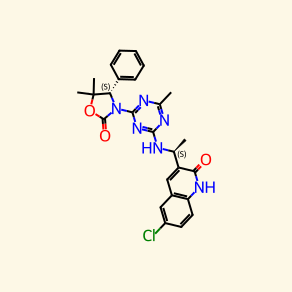 Cc1nc(N[C@@H](C)c2cc3cc(Cl)ccc3[nH]c2=O)nc(N2C(=O)OC(C)(C)[C@@H]2c2ccccc2)n1